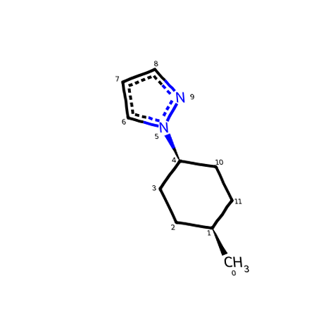 C[C@H]1CC[C@@H](n2cccn2)CC1